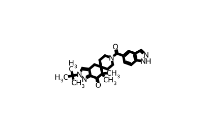 CC(C)(C)n1cc2c(n1)C(=O)C(C)(C)C1(CCN(C(=O)c3ccc4[nH]ncc4c3)CC1)C2